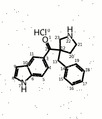 Cl.O=C(c1ccc2[nH]ccc2c1)C1(Cc2ccccc2)CCNC1